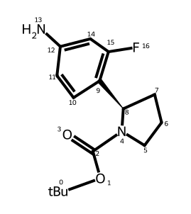 CC(C)(C)OC(=O)N1CCC[C@@H]1c1ccc(N)cc1F